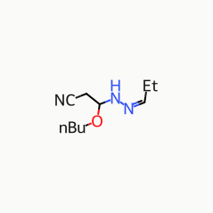 CC/C=N\NC(CC#N)OCCCC